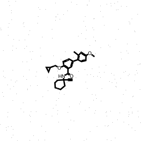 C#CC1(NC(=O)c2cc(-c3ccc(OC)cc3C)ccc2OCC2CC2)CCCCC1